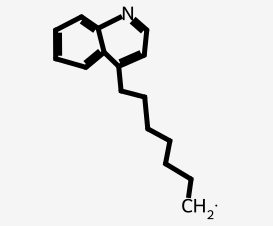 [CH2]CCCCCCc1ccnc2ccccc12